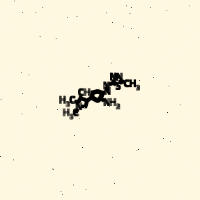 Cc1nnc(N=Nc2ccc(C3CN(C)C(C)C3C)cc2N)s1